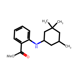 COC(=O)c1ccccc1NC1CC(C)CC(C)(C)C1